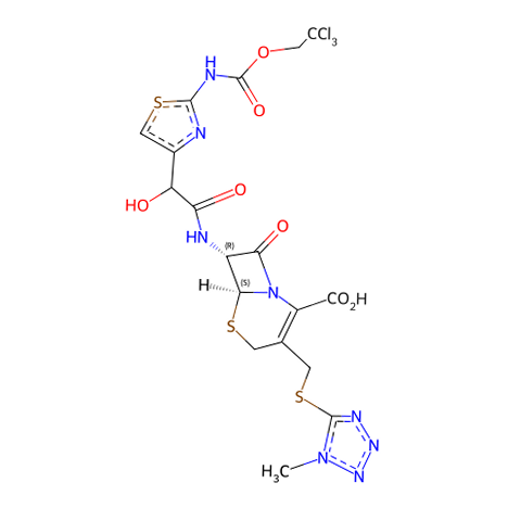 Cn1nnnc1SCC1=C(C(=O)O)N2C(=O)[C@@H](NC(=O)C(O)c3csc(NC(=O)OCC(Cl)(Cl)Cl)n3)[C@@H]2SC1